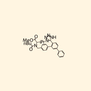 CCCCC(=O)N(Cc1ccc(-c2cc(-c3ccccc3)ccc2-c2nnn[nH]2)cc1)C(C(=O)OC)C(C)C